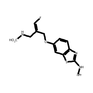 CCCNc1nc2ccc(OC/C(=C\F)CNC(=O)O)cc2s1